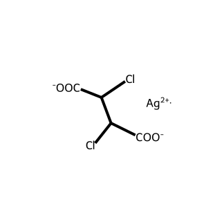 O=C([O-])C(Cl)C(Cl)C(=O)[O-].[Ag+2]